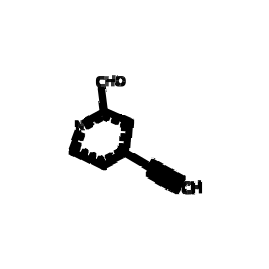 C#Cc1ccnc(C=O)c1